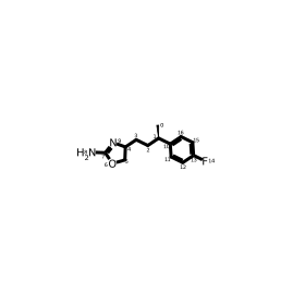 C[C@H](CCC1COC(N)=N1)c1ccc(F)cc1